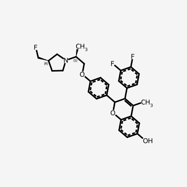 CC1=C(c2ccc(F)c(F)c2)C(c2ccc(OC[C@H](C)N3CC[C@@H](CF)C3)cc2)Oc2ccc(O)cc21